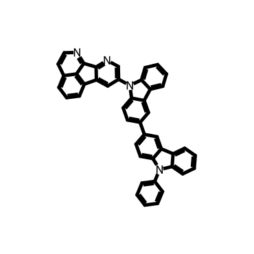 c1ccc(-n2c3ccccc3c3cc(-c4ccc5c(c4)c4ccccc4n5-c4cnc5c(c4)-c4cccc6ccnc-5c46)ccc32)cc1